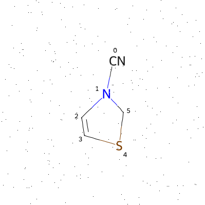 N#CN1C=CSC1